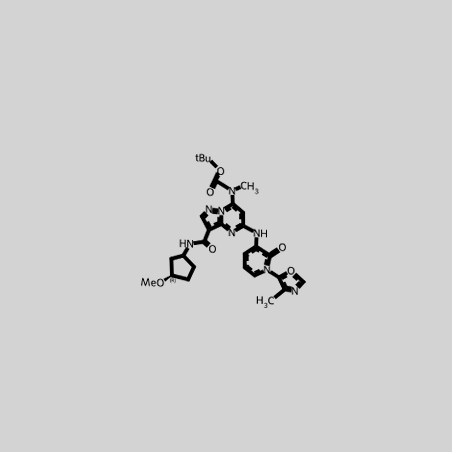 CO[C@@H]1CCC(NC(=O)c2cnn3c(N(C)C(=O)OC(C)(C)C)cc(Nc4cccn(-c5ocnc5C)c4=O)nc23)C1